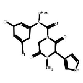 CCCCCCN(C(=O)N1CC(=O)N(C)C(c2cc[nH]c2)C1=O)C1=CC(Cl)C=C(Cl)C1